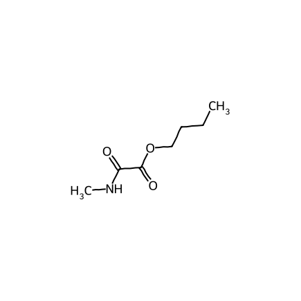 CCCCOC(=O)C(=O)NC